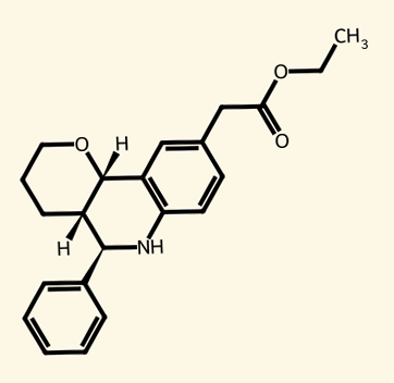 CCOC(=O)Cc1ccc2c(c1)[C@H]1OCCC[C@H]1[C@H](c1ccccc1)N2